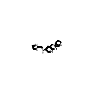 c1csc(CNc2cnc3c(c2)C[C@@]2(CN4CCC2CC4)O3)n1